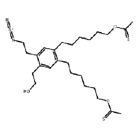 CC(=S)OCCCCCCc1cc(CCO)c(CCN=[N+]=[N-])cc1CCCCCCOC(C)=S